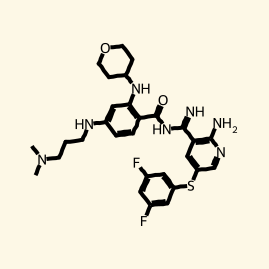 CN(C)CCCNc1ccc(C(=O)NC(=N)c2cc(Sc3cc(F)cc(F)c3)cnc2N)c(NC2CCOCC2)c1